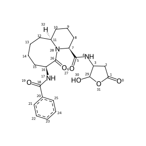 O=C1CC(NC(=O)[C@@H]2CCC[C@@H]3CCCC[C@H](NC(=O)c4ccccc4)C(=O)N32)C(O)O1